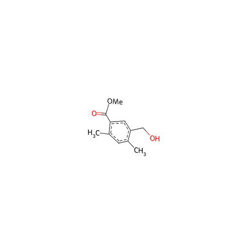 COC(=O)c1cc(CO)c(C)cc1C